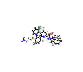 CN(C)CCCOc1cc(-c2nc(C(=O)NC3(C(=O)O)C4CC5CC(C4)CC3C5)ccc2-c2ccccn2)ccc1Cl.Cl